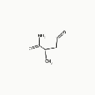 CC(C[C]=O)C(N)=O